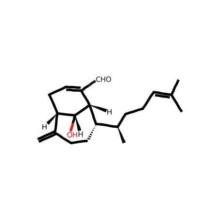 C=C1CC[C@@H]([C@H](C)CCC=C(C)C)[C@H]2C(C=O)=CC[C@@H]1[C@H]2O